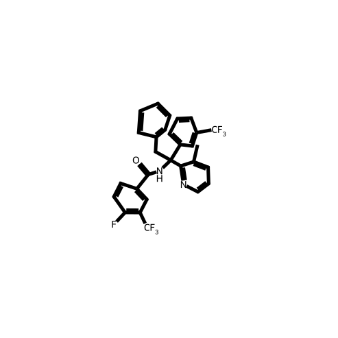 Cc1cccnc1C(Cc1ccccc1)(NC(=O)c1ccc(F)c(C(F)(F)F)c1)c1cccc(C(F)(F)F)c1